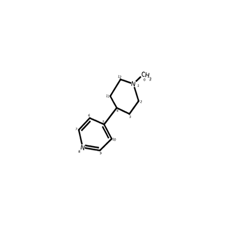 CN1CCC(c2ccncc2)CC1